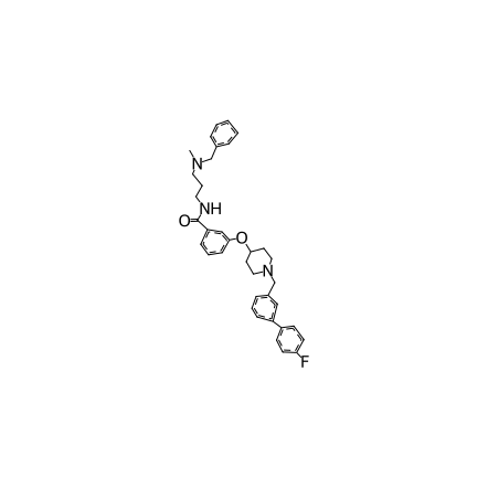 CN(CCCNC(=O)c1cccc(OC2CCN(Cc3cccc(-c4ccc(F)cc4)c3)CC2)c1)Cc1ccccc1